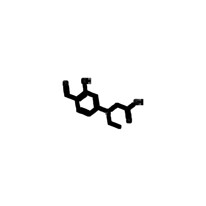 CCN(CC(=O)O)c1ccc(C=O)c(O)c1